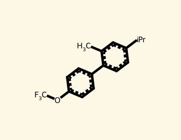 Cc1cc(C(C)C)ccc1-c1ccc(OC(F)(F)F)cc1